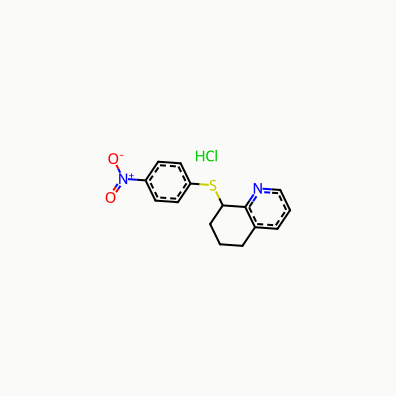 Cl.O=[N+]([O-])c1ccc(SC2CCCc3cccnc32)cc1